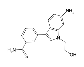 NC(=S)c1cccc(-c2cn(CCO)c3cc(N)ccc23)c1